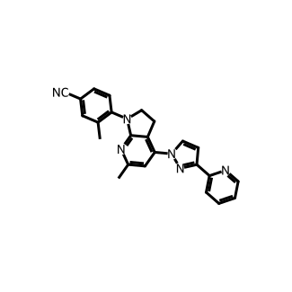 Cc1cc(-n2ccc(-c3ccccn3)n2)c2c(n1)N(c1ccc(C#N)cc1C)CC2